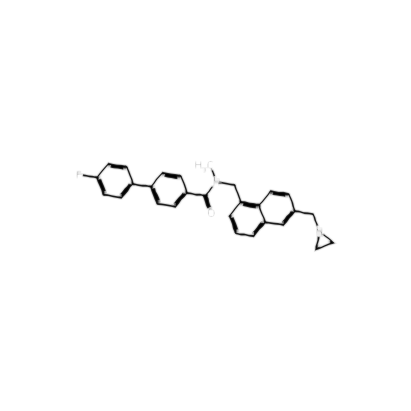 CN(Cc1cccc2cc(CN3CC3)ccc12)C(=O)c1ccc(-c2ccc(F)cc2)cc1